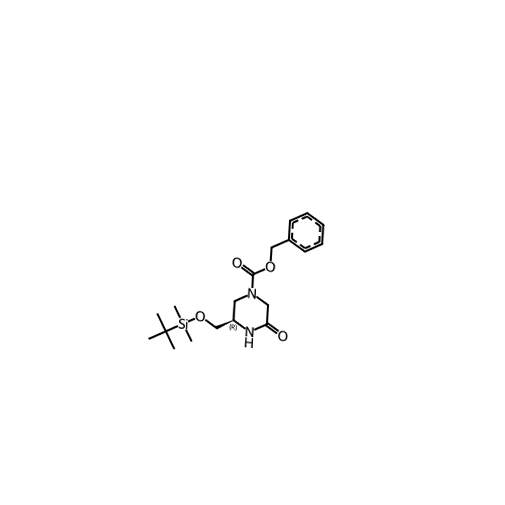 CC(C)(C)[Si](C)(C)OC[C@H]1CN(C(=O)OCc2ccccc2)CC(=O)N1